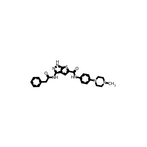 CN1CCN(c2ccc(NC(=O)c3cc4c(NC(=O)Cc5ccccc5)n[nH]c4s3)cc2)CC1